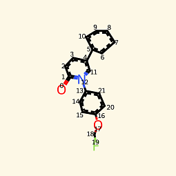 O=c1ccc(-c2ccccc2)cn1-c1ccc(OCF)cc1